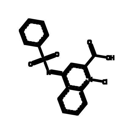 O=C(O)c1cc(=NS(=O)(=O)c2ccccc2)c2ccccc2n1Cl